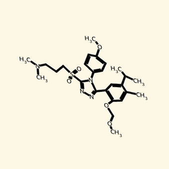 COCOc1cc(C)c(C(C)C)cc1-c1nnc(S(=O)(=O)CCCN(C)C)n1-c1ccc(OC)cc1